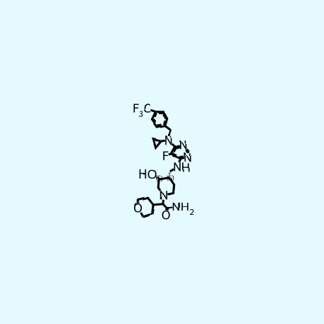 NC(=O)C(C1CCOCC1)N1CC[C@@H](CNc2ncnc(N(Cc3ccc(C(F)(F)F)cc3)C3CC3)c2F)[C@H](O)C1